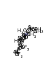 Cc1cc(C(=O)N2CCC(C)(O)CC2)cc(C)c1/C=C/S(=O)(=O)N1CCC2(CC1)N=C(c1ccc(OCCCC(F)(F)C(F)(F)F)c(C(F)(F)F)c1)NC2=O